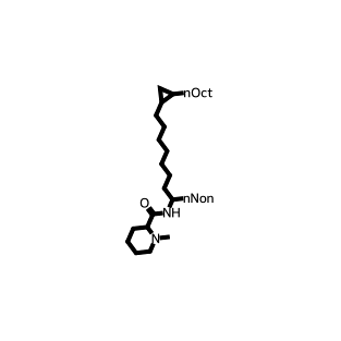 CCCCCCCCCC(CCCCCCCC1CC1CCCCCCCC)NC(=O)C1CCCCN1C